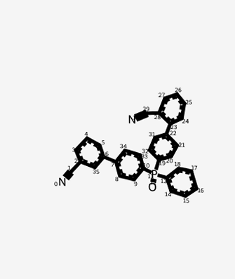 N#Cc1cccc(-c2ccc(P(=O)(c3ccccc3)c3ccc(-c4ccccc4C#N)cc3)cc2)c1